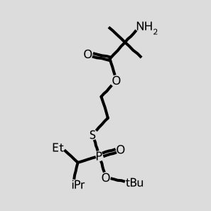 CCC(C(C)C)P(=O)(OC(C)(C)C)SCCOC(=O)C(C)(C)N